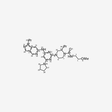 COCCNC(=O)N1CCN(c2nc(Nc3cc4c(cn3)cnn4C(C)C)cc(N3CCCC3)n2)CC1C(C)C